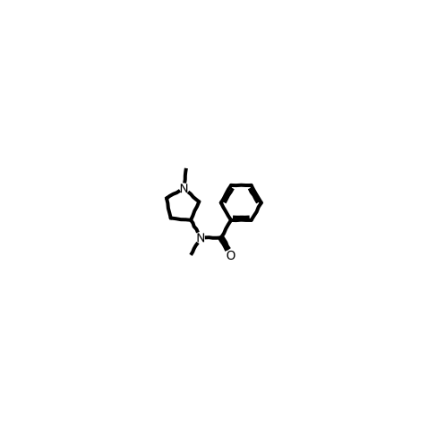 CN1CCC(N(C)C(=O)c2ccccc2)C1